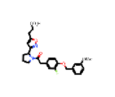 COc1cccc(COc2ccc(CC(=O)N3CCCC3c3cc(CCC(=O)O)on3)cc2F)c1